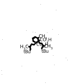 CC(CCC1(C(=O)O)CC=CC(C)C1(CCC(C)CC(C)(C)C)C(=O)O)CC(C)(C)C